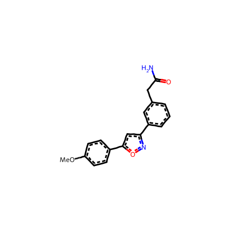 COc1ccc(-c2cc(-c3cccc(CC(N)=O)c3)no2)cc1